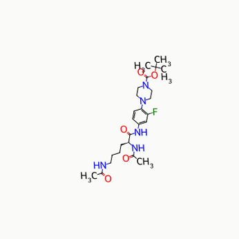 CC(=O)NCCCC[C@H](NC(C)=O)C(=O)Nc1ccc(N2CCN(C(=O)OC(C)(C)C)CC2)c(F)c1